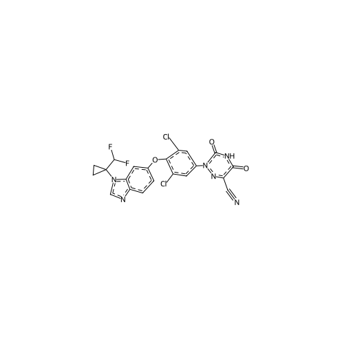 N#Cc1nn(-c2cc(Cl)c(Oc3ccc4ncn(C5(C(F)F)CC5)c4c3)c(Cl)c2)c(=O)[nH]c1=O